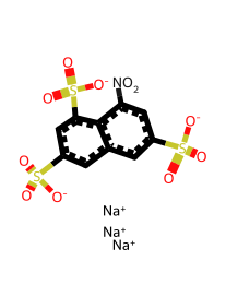 O=[N+]([O-])c1cc(S(=O)(=O)[O-])cc2cc(S(=O)(=O)[O-])cc(S(=O)(=O)[O-])c12.[Na+].[Na+].[Na+]